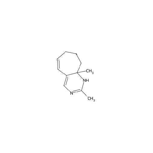 CC1=NC=C2C=CCCCC2(C)N1